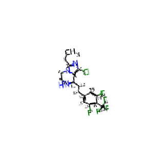 CCc1nc(Cl)c2n1CCNC2CCc1cc(F)c(C(F)(F)F)c(F)c1